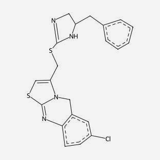 Clc1ccc2c(c1)CN1C(CSC3=NCC(Cc4ccccc4)N3)=CSC1=N2